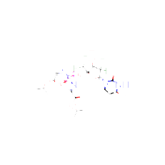 CC(C)OC(=O)[C@H](C)NP(=O)(N[C@@H](C)C(=O)OC(C)C)OC[C@@]1(C(F)F)O[C@@H](n2ccc(=O)[nH]c2=O)C(F)(F)[C@@H]1O